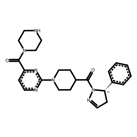 O=C(c1ccnc(N2CCC(C(=O)N3N=CC[C@H]3c3ccccc3)CC2)n1)N1CCNCC1